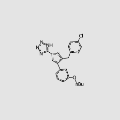 CCCCOc1cccc(-c2cc(-c3nnn[nH]3)sc2Cc2ccc(Cl)cc2)c1